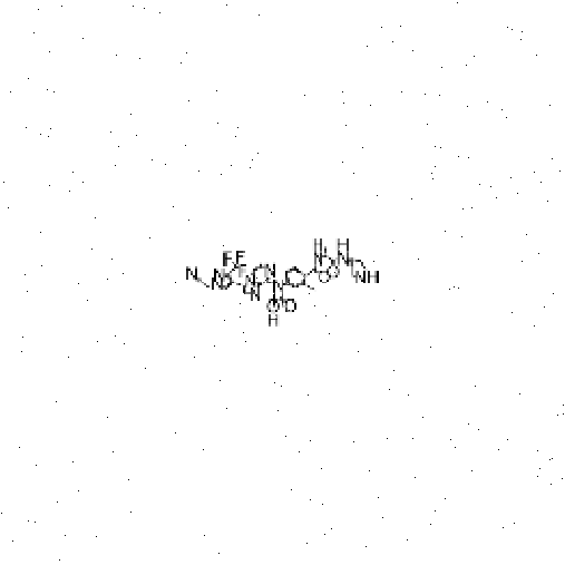 Cc1cc(Nc2nccn3c(-c4cn(CC#N)nc4C(F)(F)F)cnc23)ccc1C(=O)NC(C)C(=O)N[C@H]1CCNC1.O=CO